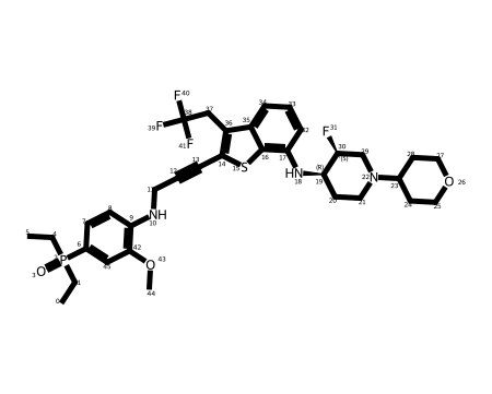 CCP(=O)(CC)c1ccc(NCC#Cc2sc3c(N[C@@H]4CCN(C5CCOCC5)C[C@@H]4F)cccc3c2CC(F)(F)F)c(OC)c1